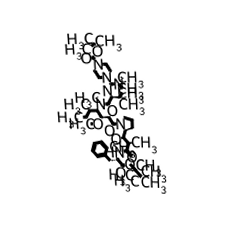 CC[C@H](C)[C@@H]([C@@H](CC(=O)N1CCC[C@H]1[C@H](OC)[C@@H](C)C(=O)N[C@@H](Cc1ccccc1)C(=O)OC(C)(C)C(C)(C)C)OC)N(C)C(=O)[C@@H](/N=C(\N(C)C)N1CCN(C(=O)OC(C)(C)C)CC1)C(C)C